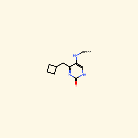 CCCCCNc1c[nH]c(=O)nc1CC1CCC1